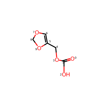 O=C(O)OCC1=COCO1